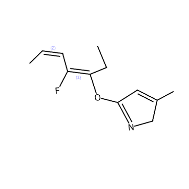 C/C=C\C(F)=C(/CC)OC1=NCC(C)=C1